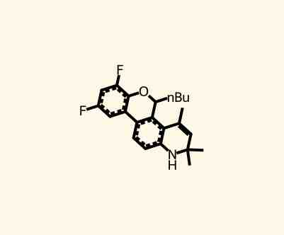 CCCCC1Oc2c(F)cc(F)cc2-c2ccc3c(c21)C(C)=CC(C)(C)N3